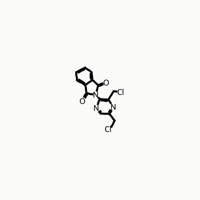 O=C1c2ccccc2C(=O)N1c1ncc(CCl)nc1CCl